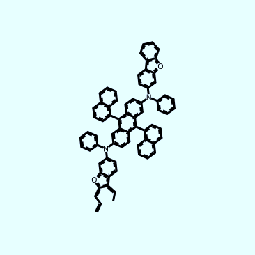 C=C/C=c1/oc2cc(N(c3ccccc3)c3ccc4c(-c5cccc6ccccc56)c5cc(N(c6ccccc6)c6ccc7c(c6)oc6ccccc67)ccc5c(-c5cccc6ccccc56)c4c3)ccc2/c1=C/C